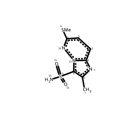 CSc1ccc2nc(C)c(S(N)(=O)=O)n2n1